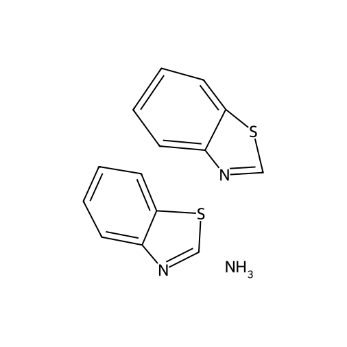 N.c1ccc2scnc2c1.c1ccc2scnc2c1